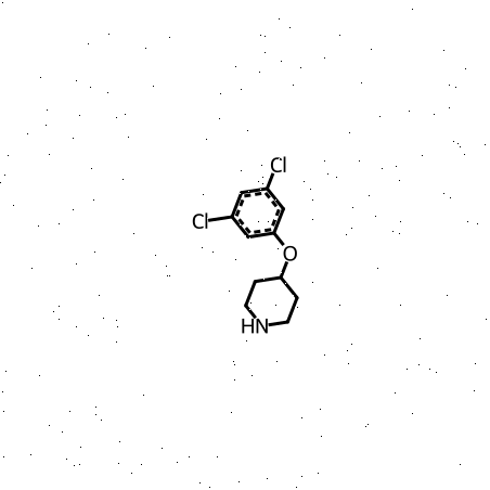 Clc1cc(Cl)cc(OC2CCNCC2)c1